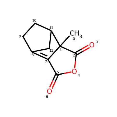 CC12C(=O)OC(=O)C1=C1CCC2C1